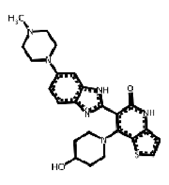 CN1CCN(c2ccc3nc(-c4c(N5CCC(O)CC5)c5sccc5[nH]c4=O)[nH]c3c2)CC1